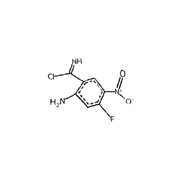 N=C(Cl)c1cc([N+](=O)[O-])c(F)cc1N